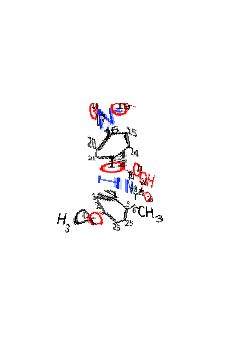 COc1ccc(C(C)C(NC(=O)Oc2ccc([N+](=O)[O-])cc2)C(=O)O)cc1